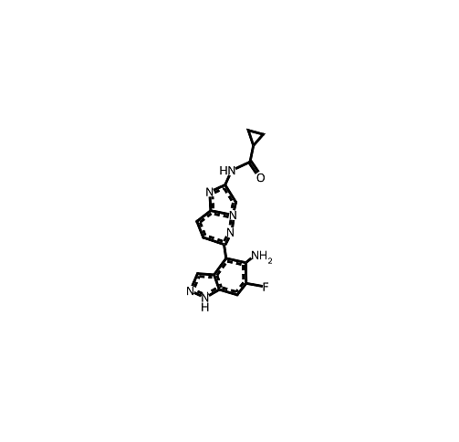 Nc1c(F)cc2[nH]ncc2c1-c1ccc2nc(NC(=O)C3CC3)cn2n1